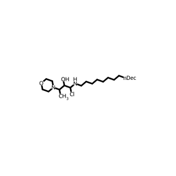 CCCCCCCCCCCCCCCCCCNC(Cl)C(O)C(C)N1CCOCC1